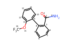 NC(=O)c1[c]cccc1-c1ccccc1OC(F)(F)F